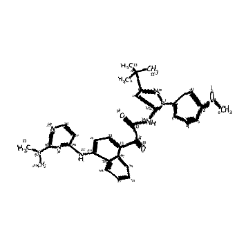 COc1cccc(-n2nc(C(C)(C)C)cc2NC(=O)C(=O)c2ccc(Nc3ccnc(N(C)C)n3)c3ccccc23)c1